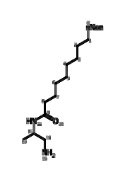 CCCCCCCCCCCCCCCCCC(=O)NC(C)CN